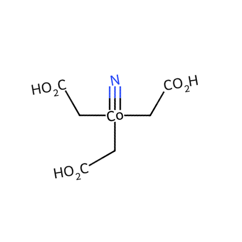 [N]#[Co]([CH2]C(=O)O)([CH2]C(=O)O)[CH2]C(=O)O